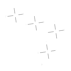 [F][Al-]([F])([F])[F].[F][Al-]([F])([F])[F].[F][Al-]([F])([F])[F].[F][Al-]([F])([F])[F].[K]